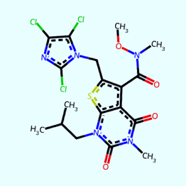 CON(C)C(=O)c1c(Cn2c(Cl)nc(Cl)c2Cl)sc2c1c(=O)n(C)c(=O)n2CC(C)C